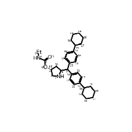 CCNC(=O)O[C@H]1CNC(C(c2ccc(C3CCCCC3)cc2)c2ccc(C3CCCCC3)cc2)C1